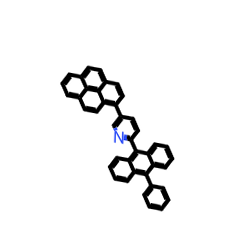 c1ccc(-c2c3ccccc3c(-c3ccc(-c4ccc5ccc6cccc7ccc4c5c67)cn3)c3ccccc23)cc1